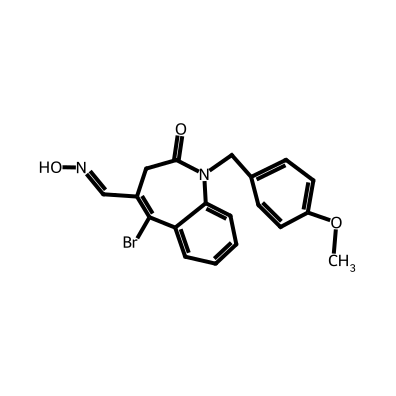 COc1ccc(CN2C(=O)CC(C=NO)=C(Br)c3ccccc32)cc1